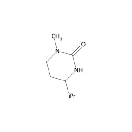 CC(C)C1CCN(C)C(=O)N1